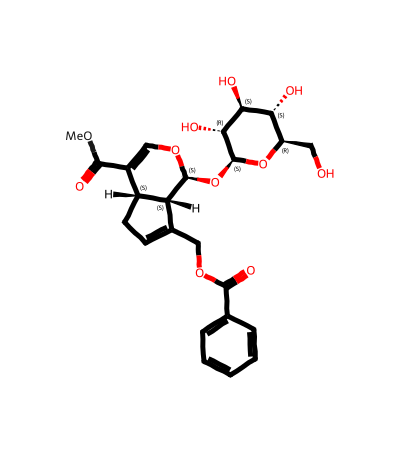 COC(=O)C1=CO[C@@H](O[C@@H]2O[C@H](CO)[C@@H](O)[C@H](O)[C@H]2O)[C@@H]2C(COC(=O)c3ccccc3)=CC[C@H]12